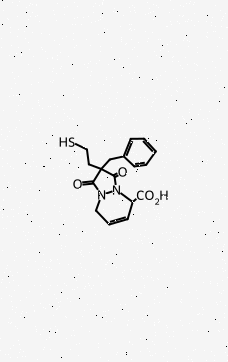 O=C(O)C1C=CCN2C(=O)C(CCS)(Cc3ccccc3)C(=O)N12